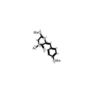 COC1=NC(=Cc2ccc(OC)cc2)C(=O)N(C(C)=O)C1